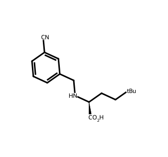 CC(C)(C)CC[C@H](NCc1cccc(C#N)c1)C(=O)O